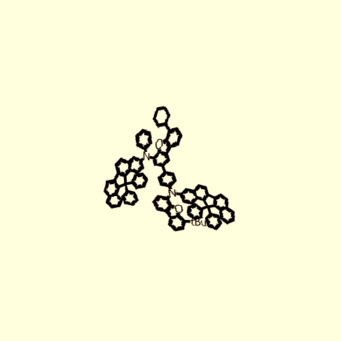 CC(C)(C)c1cccc2c1oc1c(N(c3ccc(-c4cc(N(c5ccccc5)c5ccc6c7c(ccc6c5)-c5ccc6ccccc6c5C7(c5ccccc5)c5ccccc5)c5oc6c(C7CCCCC7)cccc6c5c4)cc3)c3ccc4c5c(ccc4c3)-c3ccc4ccccc4c3C5(c3ccccc3)c3ccccc3)cccc12